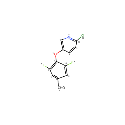 O=Cc1cc(F)c(Oc2ccc(Cl)nc2)c(F)c1